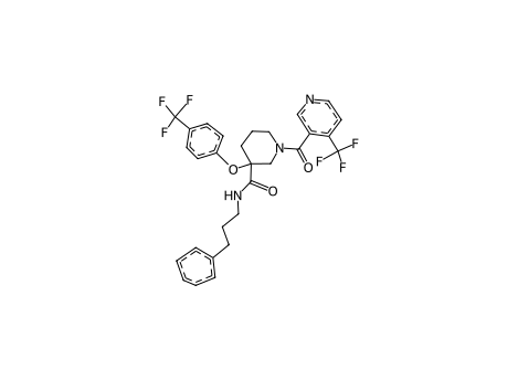 O=C(c1cnccc1C(F)(F)F)N1CCCC(Oc2ccc(C(F)(F)F)cc2)(C(=O)NCCCc2ccccc2)C1